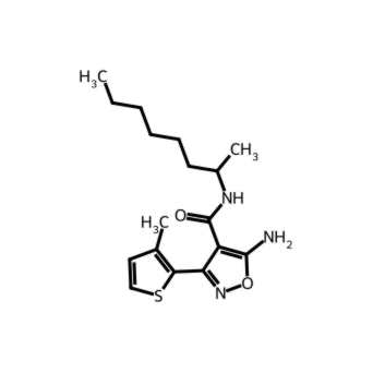 CCCCCCC(C)NC(=O)c1c(-c2sccc2C)noc1N